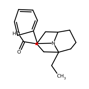 CCC12CCCC(CC(C(=O)O)C1)N2Cc1ccccc1